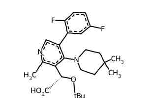 Cc1ncc(-c2cc(F)ccc2F)c(N2CCC(C)(C)CC2)c1[C@H](OC(C)(C)C)C(=O)O